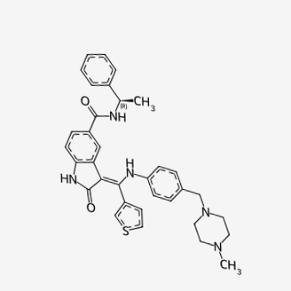 C[C@@H](NC(=O)c1ccc2c(c1)C(=C(Nc1ccc(CN3CCN(C)CC3)cc1)c1ccsc1)C(=O)N2)c1ccccc1